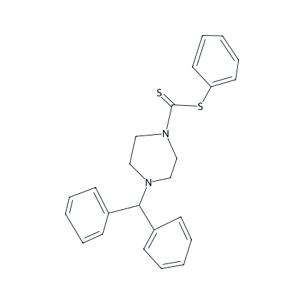 S=C(Sc1ccccc1)N1CCN(C(c2ccccc2)c2ccccc2)CC1